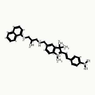 CCN(CC)c1ccc(C=CC2=[N+](C)c3ccc(CNCC(O)COc4cccc5ccccc45)cc3C2(C)C)cc1